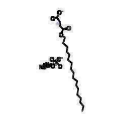 CCCCCCCCCCCCCCCCCCOC(=O)/C=C/C(=O)[O-].O=S(=O)([O-])[O-].[Na+].[Na+].[Na+]